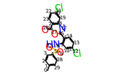 Cc1ccc(S(=O)(=O)Nc2cc(Cl)ccc2-c2nc3cc(Cl)ccc3c(=O)o2)cc1